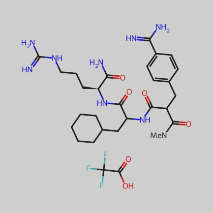 CNC(=O)C(Cc1ccc(C(=N)N)cc1)C(=O)NC(CC1CCCCC1)C(=O)N[C@@H](CCCNC(=N)N)C(N)=O.O=C(O)C(F)(F)F